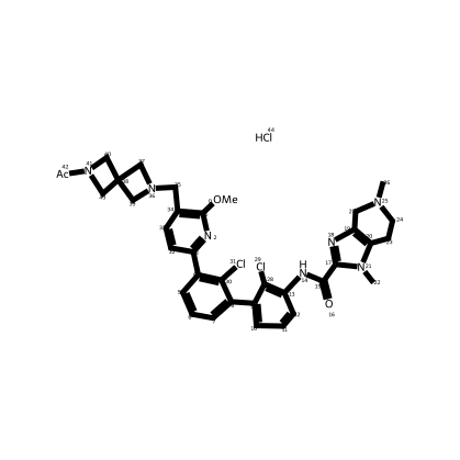 COc1nc(-c2cccc(-c3cccc(NC(=O)c4nc5c(n4C)CCN(C)C5)c3Cl)c2Cl)ccc1CN1CC2(C1)CN(C(C)=O)C2.Cl